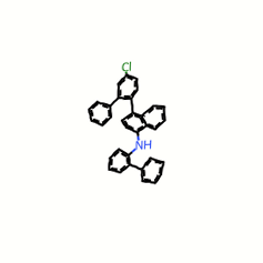 Clc1ccc(-c2ccc(Nc3ccccc3-c3ccccc3)c3ccccc23)c(-c2ccccc2)c1